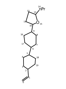 C=CC1CCC(C2CCC(C3CCC(CCC)O3)CC2)CC1